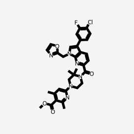 COC(=O)c1c(C)cc(N2CCN(C(=O)c3ccc4c(-c5ccc(Cl)c(F)c5)cn(Cc5ncco5)c4n3)C(C)(C)C2)nc1C